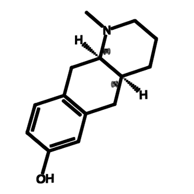 CN1CCC[C@H]2Cc3cc(O)ccc3C[C@H]21